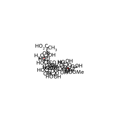 CO[C@@H]1C(CO)O[C@@H](O[C@@H]2C(CO)O[C@@H](O[C@@H]3C(CSCC(N)C(=O)O)O[C@@H](O[C@@H]4C(CO)O[C@H](O[C@@H]5C(CO)O[C@H](O[C@@H]6C(CO)O[C@H](O[C@H](C(O)CSCC(C)C(=O)O)[C@H](O)C(C)O)C(O)[C@H]6O)[C@@H](O)C5O)[C@@H](O)C4O)[C@@H](O)C3O)[C@@H](O)C2O)C(O)[C@H]1O